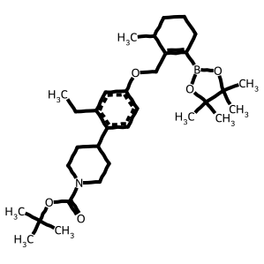 CCc1cc(OCC2=C(B3OC(C)(C)C(C)(C)O3)CCCC2C)ccc1C1CCN(C(=O)OC(C)(C)C)CC1